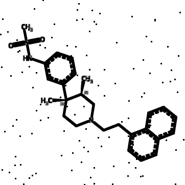 C[C@H]1CN(CCc2cccc3ccccc23)CC[C@]1(C)c1cccc(NS(C)(=O)=O)c1